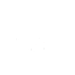 C=Cc1c(C)cccc1OC(C)(C)OCCc1ccccc1